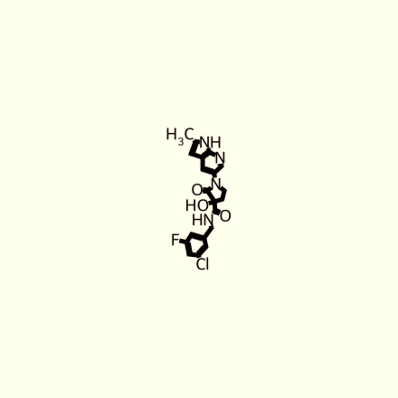 Cc1cc2cc(N3CCC(O)(C(=O)NCc4cc(F)cc(Cl)c4)C3=O)cnc2[nH]1